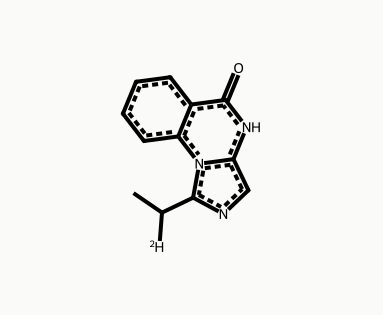 [2H]C(C)c1ncc2[nH]c(=O)c3ccccc3n12